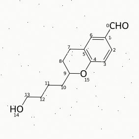 O=Cc1ccc2c(c1)CCC(CCCCO)O2